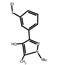 CCSc1cccc(-c2nn(C(C)(C)C)c(C)c2O)c1